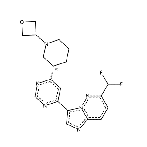 FC(F)c1ccc2ncc(-c3cc([C@H]4CCCN(C5COC5)C4)ncn3)n2n1